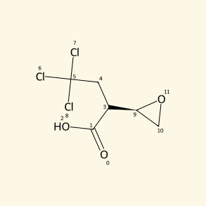 O=C(O)C(CC(Cl)(Cl)Cl)[C@@H]1CO1